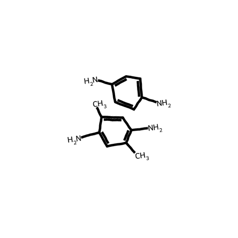 Cc1cc(N)c(C)cc1N.Nc1ccc(N)cc1